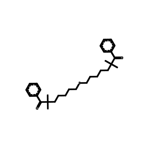 CC(C)(CCCCCSCCCCCC(C)(C)C(=O)c1ccccc1)C(=O)c1ccccc1